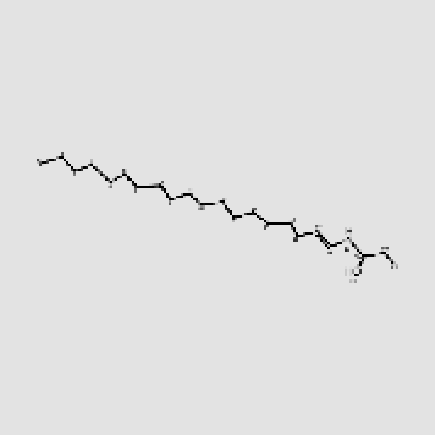 CCCCCCCCCCCCCCCCCC=CNC(O)CC